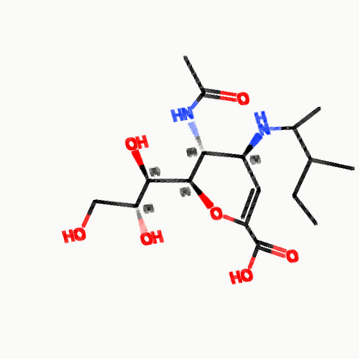 CCC(C)C(C)N[C@H]1C=C(C(=O)O)O[C@@H]([C@H](O)[C@H](O)CO)[C@@H]1NC(C)=O